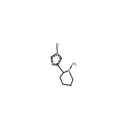 [CH2]Cn1cnc(C2CCCCN2C)c1